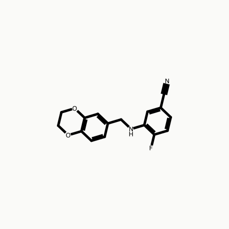 N#Cc1ccc(F)c(NCc2ccc3c(c2)OCCO3)c1